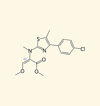 CO/C=C(\C(=O)OC)N(C)c1nc(-c2ccc(Cl)cc2)c(C)s1